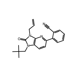 C=CCn1c(=O)n(CC(C)(C)C)c2ccc(-c3ccccc3C#N)nc21